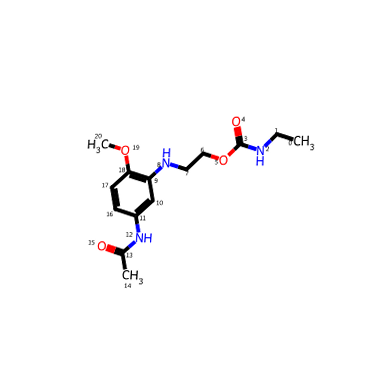 CCNC(=O)OCCNc1cc(NC(C)=O)ccc1OC